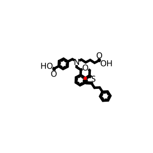 O=C(O)CCCCN(Cc1ccc(C(=O)O)cc1)CC(OCc1ccc(CCc2ccccc2)s1)c1ccccc1